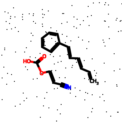 C=CC=CC=Cc1ccccc1.N#CC=COC(=O)O